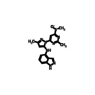 Cc1cc(Nc2cccc3[nH]ncc23)n(-c2cc([S+](C)[O-])nc(C)n2)n1